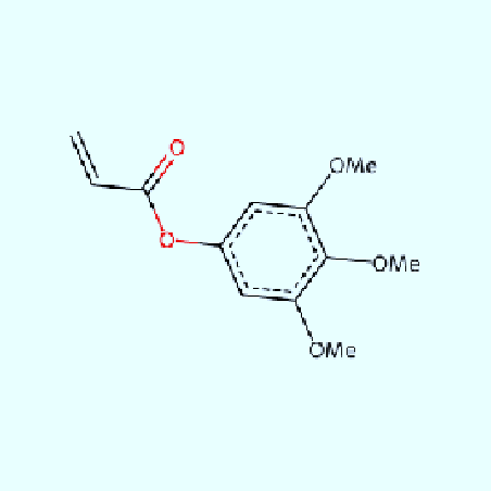 C=CC(=O)Oc1cc(OC)c(OC)c(OC)c1